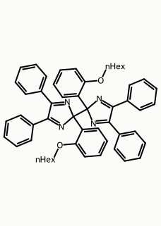 CCCCCCOc1ccccc1C1(C2(c3ccccc3OCCCCCC)N=C(c3ccccc3)C(c3ccccc3)=N2)N=C(c2ccccc2)C(c2ccccc2)=N1